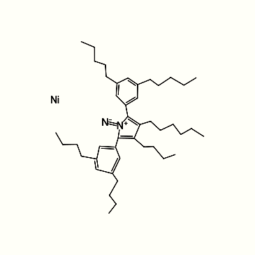 CCCCCCC1=C(c2cc(CCCCC)cc(CCCCC)c2)[N+](=[N-])C(c2cc(CCCC)cc(CCCC)c2)=C1CCCC.[Ni]